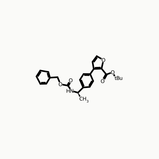 C[C@@H](NC(=O)OCc1ccccc1)c1ccc(-c2ccoc2C(=O)OC(C)(C)C)cc1